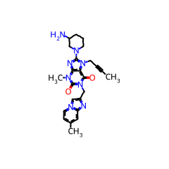 CC#CCn1c(N2CCCC(N)C2)nc2c1c(=O)n(Cc1cn3ccc(C)cc3n1)c(=O)n2C